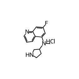 CN(c1cc(F)cc2ncccc12)C1CCNC1.Cl